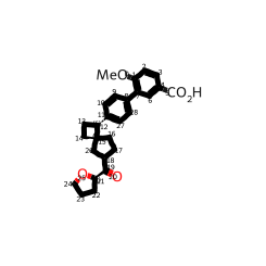 COc1ccc(C(=O)O)cc1-c1ccc([C@H]2CC[C@]23CCC(C(=O)[C@H]2CCCO2)C3)cc1